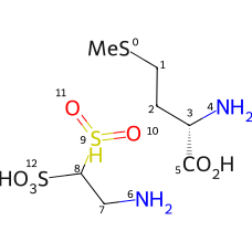 CSCC[C@H](N)C(=O)O.NCC([SH](=O)=O)S(=O)(=O)O